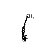 CCCCCCCCCCCCN=Cc1ccc(OCc2ccc(Cl)c(C(F)(F)F)c2)cc1